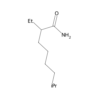 CCC(CCCCC(C)C)C(N)=O